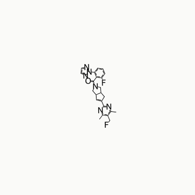 Cc1nc(C2=CC3CN(C(=O)c4c(F)cccc4-n4nccn4)CC3C2)nc(C)c1CF